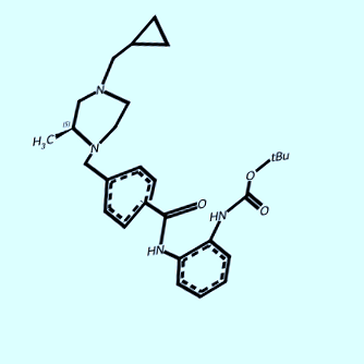 C[C@H]1CN(CC2CC2)CCN1Cc1ccc(C(=O)Nc2ccccc2NC(=O)OC(C)(C)C)cc1